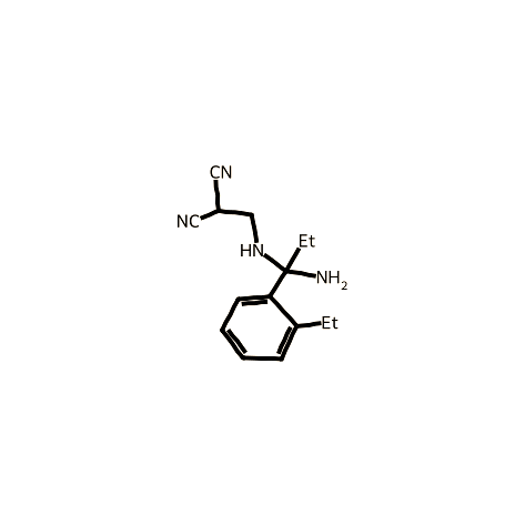 CCc1ccccc1C(N)(CC)NCC(C#N)C#N